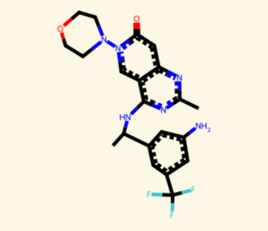 Cc1nc(NC(C)c2cc(N)cc(C(F)(F)F)c2)c2cn(N3CCOCC3)c(=O)cc2n1